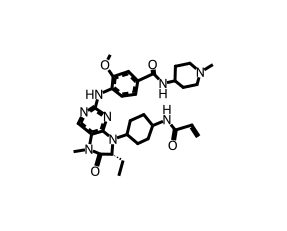 C=CC(=O)NC1CCC(N2c3nc(Nc4ccc(C(=O)NC5CCN(C)CC5)cc4OC)ncc3N(C)C(=O)[C@H]2CC)CC1